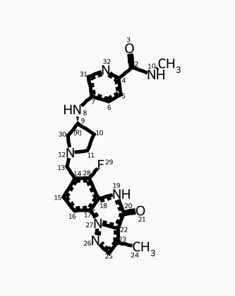 CNC(=O)c1ccc(N[C@@H]2CCN(Cc3ccc4c([nH]c(=O)c5c(C)cnn54)c3F)C2)cn1